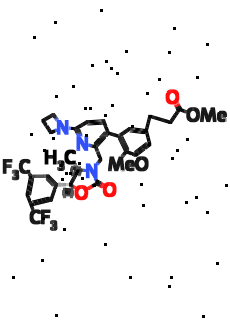 COC(=O)CCc1ccc(OC)c(-c2ccc(N3CCC3)nc2CN2C(=O)O[C@H](c3cc(C(F)(F)F)cc(C(F)(F)F)c3)[C@@H]2C)c1